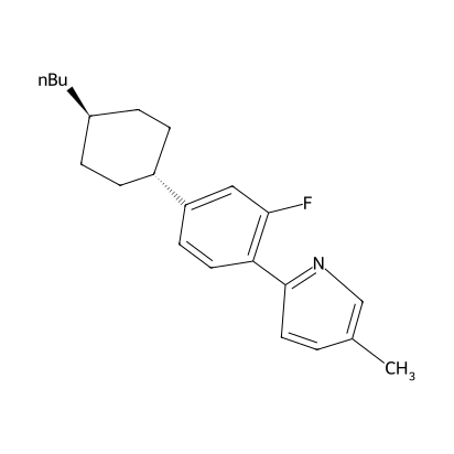 CCCC[C@H]1CC[C@H](c2ccc(-c3ccc(C)cn3)c(F)c2)CC1